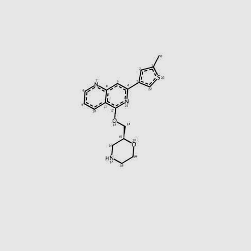 Cc1cc(-c2cc3ncccc3c(OC[C@@H]3CNCCO3)n2)cs1